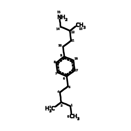 CCC(C)CCc1ccc(CCC(C)CN)cc1